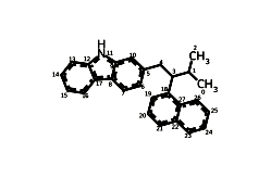 CC(C)C(Cc1ccc2c(c1)[nH]c1ccccc12)c1cccc2ccccc12